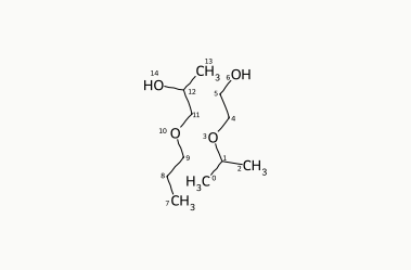 CC(C)OCCO.CCCOCC(C)O